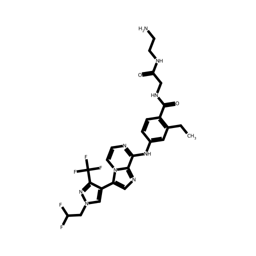 CCc1cc(Nc2nccn3c(-c4cn(CC(F)F)nc4C(F)(F)F)cnc23)ccc1C(=O)NCC(=O)NCCN